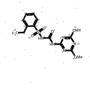 COc1nc(NC(=O)NS(=O)(=O)c2ccccc2CC(F)(F)F)nc(OC)n1